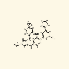 Cn1cc(Nc2ncc(-c3cc(F)cc(N4CCCC4)c3)c(Nc3cc(N)ccc3F)n2)cn1